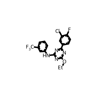 CCOc1nc(Nc2cccc(C(F)(F)F)c2)nc(-c2ccc(F)c(Cl)c2)n1